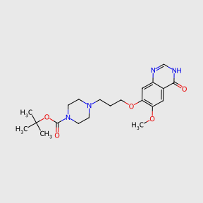 COc1cc2c(=O)[nH]cnc2cc1OCCCN1CCN(C(=O)OC(C)(C)C)CC1